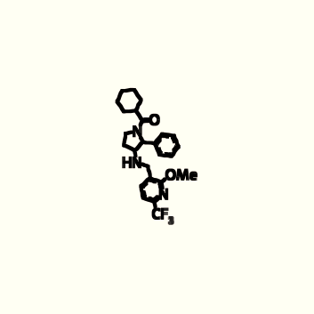 COc1nc(C(F)(F)F)ccc1CNC1CCN(C(=O)C2CCCCC2)C1c1ccccc1